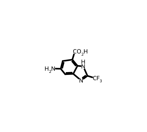 Nc1cc(C(=O)O)c2[nH]c(C(F)(F)F)nc2c1